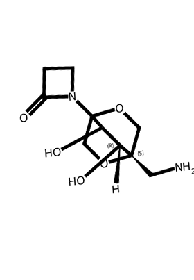 NC[C@@]12COC(N3CCC3=O)(CO1)C(O)[C@H]2O